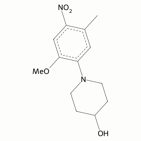 COc1cc([N+](=O)[O-])c(C)cc1N1CCC(O)CC1